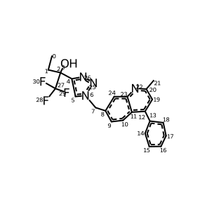 CCC(O)(c1cn(Cc2ccc3c(-c4ccccc4)cc(C)nc3c2)nn1)C(F)(F)F